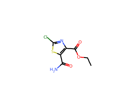 CCOC(=O)c1nc(Cl)sc1C(N)=O